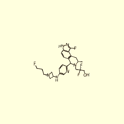 C[C@@H]1Cc2c(ccc3[nH]nc(F)c23)C(c2ccc(NC3CN(CCCF)C3)cn2)N1CC(F)(F)CO